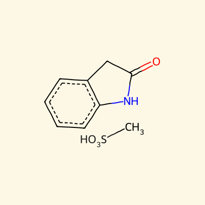 CS(=O)(=O)O.O=C1Cc2ccccc2N1